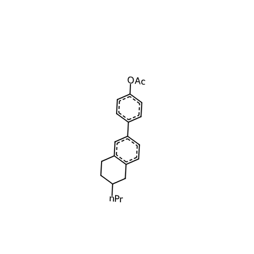 CCCC1CCc2cc(-c3ccc(OC(C)=O)cc3)ccc2C1